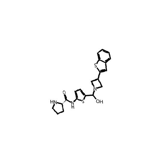 O=C(Nc1ccc(C(O)N2CC(c3cc4ccccc4s3)C2)s1)[C@@H]1CCCN1